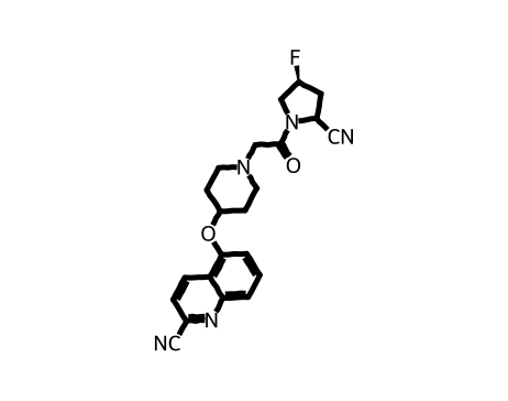 N#Cc1ccc2c(OC3CCN(CC(=O)N4C[C@@H](F)CC4C#N)CC3)cccc2n1